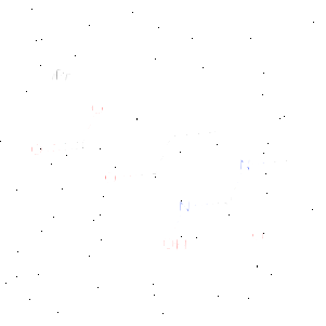 CC(C)OC(=O)OC1CCN(C)C(=O)N1O